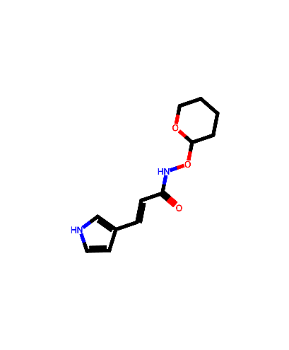 O=C(C=Cc1cc[nH]c1)NOC1CCCCO1